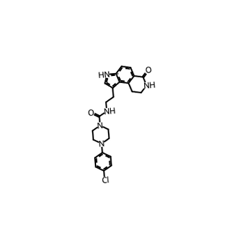 O=C1NCCc2c1ccc1[nH]cc(CCNC(=O)N3CCN(c4ccc(Cl)cc4)CC3)c21